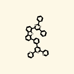 c1ccc(-c2cc(-c3cccc4c3oc3c(-c5cccc(-c6cc(-c7ccccn7)nc(-c7ccccn7)c6)c5)cccc34)nc(-c3ccccc3)n2)cc1